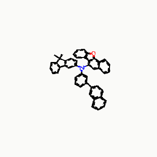 CC1(C)c2ccccc2-c2cc(N(c3cccc(-c4ccc5ccccc5c4)c3)c3cc4ccccc4c4oc5ccccc5c34)ccc21